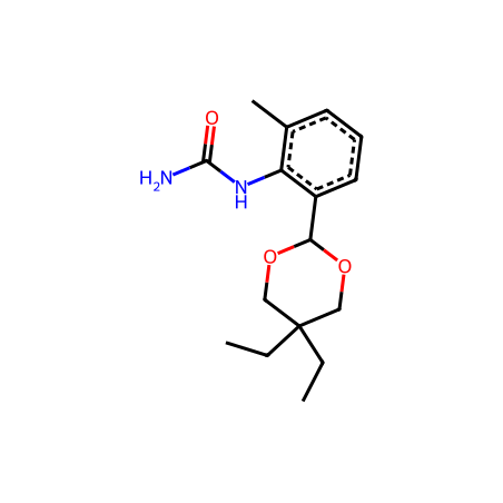 CCC1(CC)COC(c2cccc(C)c2NC(N)=O)OC1